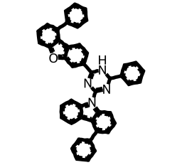 c1ccc(-c2cccc3oc4cc(C5=NC(n6c7ccccc7c7c(-c8ccccc8)cccc76)=NC(c6ccccc6)N5)ccc4c23)cc1